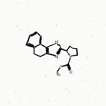 CC(C)(C)OC(=O)N1CCCC1c1nc2c([nH]1)-c1ccccc1CC2